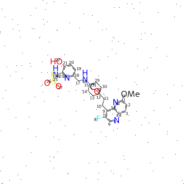 COc1ccc2ncc(F)c(CCC34CCC(NCc5ccc(O)c(N[SH](=O)=O)n5)(CC3)CO4)c2n1